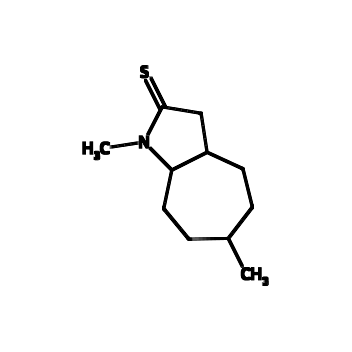 CC1CCC2CC(=S)N(C)C2CC1